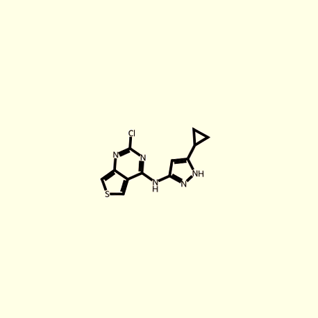 Clc1nc(Nc2cc(C3CC3)[nH]n2)c2cscc2n1